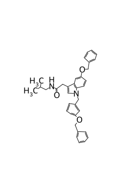 CC(C)CNC(=O)Cc1cn(Cc2cccc(OCc3ccccc3)c2)c2ccc(OCc3ccccc3)cc12